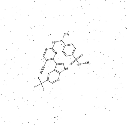 CNS(=O)(=O)c1ccc([C@@H](C)Nc2ncc(C#N)c(-c3c[nH]c4ncc(C(F)(F)F)cc34)n2)cc1